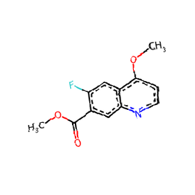 COC(=O)c1cc2nccc(OC)c2cc1F